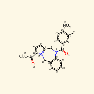 Cc1cc(C(=O)N2Cc3ccc(C(=O)C(Cl)(Cl)Cl)n3Cc3ccccc32)ccc1[N+](=O)[O-]